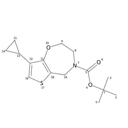 CC(C)(C)OC(=O)N1CCOc2c(C3CC3)csc2C1